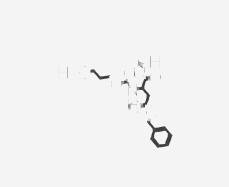 CCCCOC(=O)NC(CC(=O)OCc1ccccc1)C(=O)OC